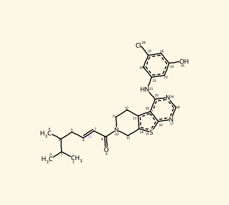 CC(C)C(C)C/C=C/C(=O)N1CCc2c(sc3ncnc(Nc4cc(O)cc(Cl)c4)c23)C1